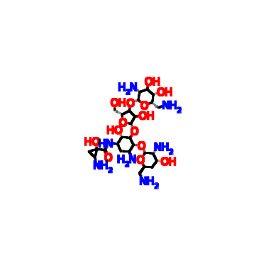 NC[C@@H]1C[C@@H](O)[C@@H](N)[C@@H](O[C@H]2[C@H](O[C@@H]3O[C@H](CO)[C@@H](O[C@H]4O[C@@H](CN)[C@@H](O)[C@H](O)[C@H]4N)[C@H]3O)[C@@H](O)[C@H](NC(=O)C3(O)CC3N)C[C@@H]2N)O1